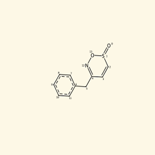 O=S1C=CC(Cc2ccccc2)=NO1